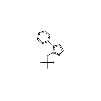 FC(F)(F)Cn1nc[c]c1-c1ccccc1